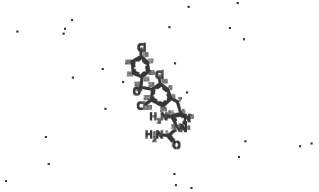 NC(=O)n1nnc(Cc2cc(Cl)c(C(=O)c3ccc(Cl)cc3)c(Cl)c2)c1N